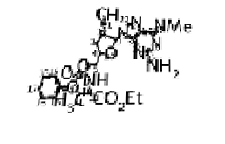 C#C[C@H]1CC(COP(=O)(NC(C)C(=O)OCC)Oc2ccccc2)OC1n1cnc2c(NC)nc(N)nc21